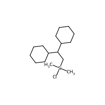 C[Si](C)(Cl)CC(C1CCCCC1)C1CCCCC1